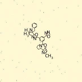 Cc1csc(C2CCCN2C(=O)c2cc(-c3nnco3)cc(-c3nnc(C(C)(N)Cc4ccccc4)o3)c2)n1